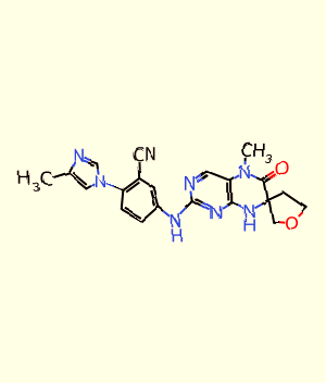 Cc1cn(-c2ccc(Nc3ncc4c(n3)NC3(CCOC3)C(=O)N4C)cc2C#N)cn1